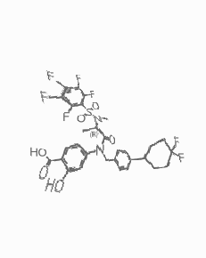 C[C@H](C(=O)N(Cc1ccc(C2CCC(F)(F)CC2)cc1)c1ccc(C(=O)O)c(O)c1)N(C)S(=O)(=O)c1c(F)c(F)c(F)c(F)c1F